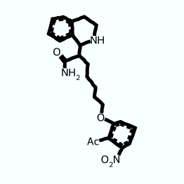 CC(=O)c1c(OCCCCCC(C(N)=O)C2NCCc3ccccc32)cccc1[N+](=O)[O-]